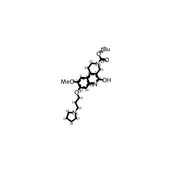 COc1cc2c3c(c(O)nc2cc1OCCCN1CCCC1)CN(C(=O)OC(C)(C)C)CC3